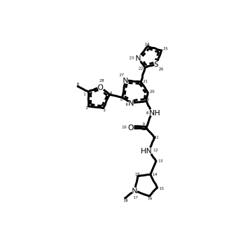 Cc1ccc(-c2nc(NC(=O)CNCC3CCN(C)C3)cc(-c3nccs3)n2)o1